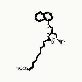 CCCCCCCC/C=C\CCCCCCCC(=O)OC(CNC(C)C)COc1cccc2ccccc12